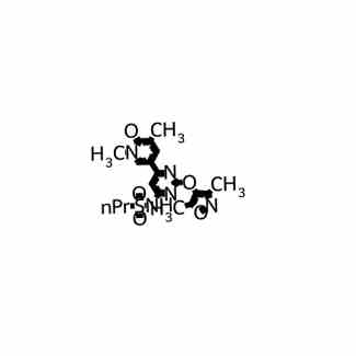 CCCS(=O)(=O)Nc1cc(-c2cc(C)c(=O)n(C)c2)nc(Oc2c(C)noc2C)n1